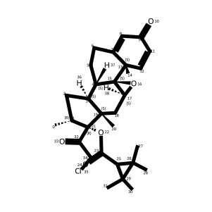 C[C@@H]1C[C@H]2[C@@H]3CCC4=CC(=O)C=C[C@]4(C)[C@@]34O[C@H]4C[C@]2(C)[C@@]1(OC(=O)C1C(C)(C)C1(C)C)C(=O)CCl